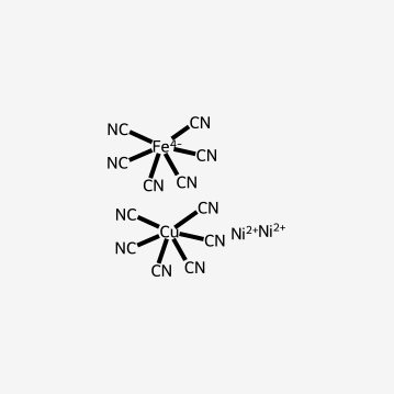 N#[C][Cu]([C]#N)([C]#N)([C]#N)([C]#N)[C]#N.N#[C][Fe-4]([C]#N)([C]#N)([C]#N)([C]#N)[C]#N.[Ni+2].[Ni+2]